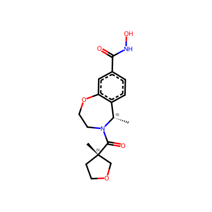 C[C@H]1c2ccc(C(=O)NO)cc2OCCN1C(=O)[C@@]1(C)CCOC1